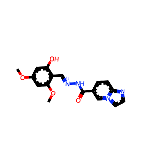 COc1cc(O)c(/C=N/NC(=O)c2ccc3nccn3c2)c(OC)c1